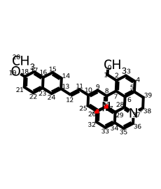 CCc1ccc2c(c1-c1cc(/C=C/c3ccc4cc(OC)ccc4c3)ccn1)-c1c3ccccc3cc[n+]1CC2